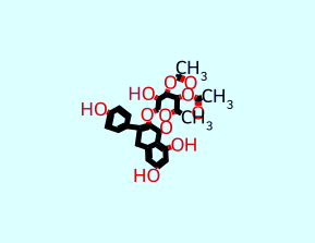 CC(=O)OC1C(C)OC(OC2=C(c3ccc(O)cc3)Cc3cc(O)cc(O)c3C2=O)C(O)C1OC(C)=O